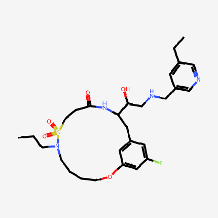 CCCN1CCCCOc2cc(F)cc(c2)CC(C(O)CNCc2cncc(CC)c2)NC(=O)CCS1(=O)=O